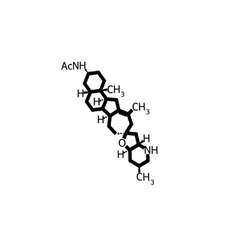 CC(=O)N[C@@H]1CC[C@@]2(C)[C@H](CCC3[C@@H]4CC[C@]5(CC(C)=C4C[C@@H]32)C[C@@H]2NC[C@@H](C)C[C@H]2O5)C1